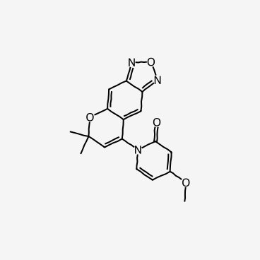 COc1ccn(C2=CC(C)(C)Oc3cc4nonc4cc32)c(=O)c1